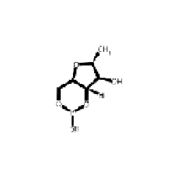 C[C@@H]1OC2COP(S)O[C@H]2C1O